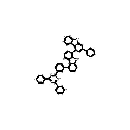 c1ccc(-c2cc(-c3cccc4c3oc3cccc(-c5cccc(-c6nc(-c7ccccc7)nc(-c7ccccc7)n6)c5)c34)c3c(c2)sc2ccccc23)cc1